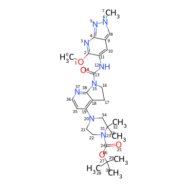 COc1nc2nn(C)cc2cc1NC(=O)N1CCc2c(N3CCN(C(=O)OC(C)(C)C)C(C)(C)C3)ccnc21